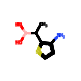 CC(B(O)O)c1sccc1N